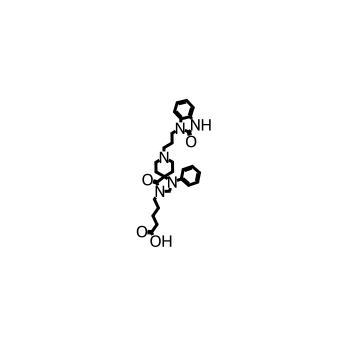 O=C(O)CCCCN1CN(c2ccccc2)C2(CCN(CCCn3c(=O)[nH]c4ccccc43)CC2)C1=O